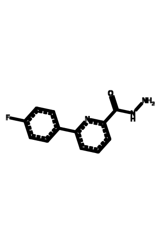 NNC(=O)c1cccc(-c2ccc(F)cc2)n1